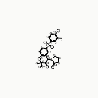 Cc1cc(S(=O)(=O)c2ccc3c(c2)C(N2CCCC2=O)C(O)C(C)(C)O3)ccc1Cl